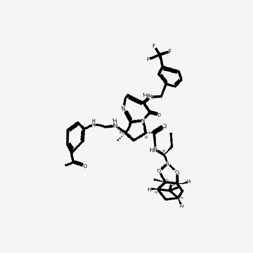 CC[C@H](NC(=O)[C@@H]1C[C@@](C)(NCNc2cccc(C(C)=O)c2)c2ncc(NCc3cccc(C(F)(F)F)c3)c(=O)n21)B1O[C@@H]2C[C@@H]3C[C@@H](C3(C)C)[C@]2(C)O1